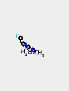 CC1=NC(C)N(c2ccc(N3CCC(Cc4cccc(F)c4)CC3)nc2)C=C1